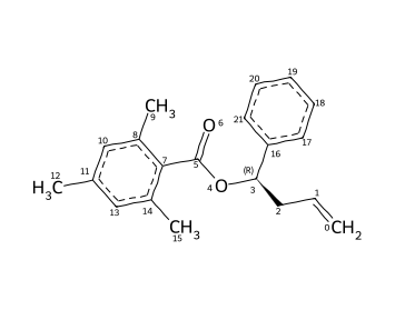 C=CC[C@@H](OC(=O)c1c(C)cc(C)cc1C)c1ccccc1